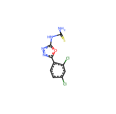 NC(=S)Nc1nnc(-c2ccc(Cl)cc2Cl)o1